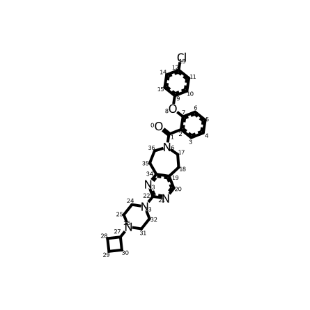 O=C(c1ccccc1Oc1ccc(Cl)cc1)N1CCc2cnc(N3CCN(C4CCC4)CC3)nc2CC1